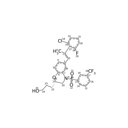 C/C(=C\c1ccc2c(c1)N(S(=O)(=O)c1cccc(C(F)(F)F)c1)C[C@H](CCCO)O2)c1c(F)cccc1Cl